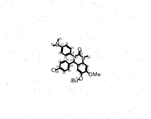 CC[C@@H](C)OC1=CC2C(C=C1OC)N(C)C(=O)N(c1ccc(N(C)C)cc1)C2c1ccc(Cl)cc1